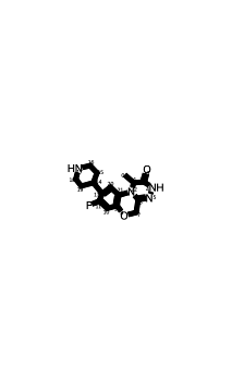 CC1C(=O)NN=C2COc3cc(F)c(C4CCNCC4)cc3N21